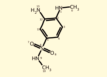 CNc1ccc(S(=O)(=O)NC)cc1N